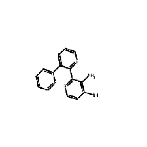 Nc1ccnc(-c2ncccc2-c2ccccn2)c1N